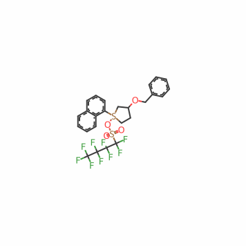 O=S(=O)(OS1(c2cccc3ccccc23)CCC(OCc2ccccc2)C1)C(F)(F)C(F)(F)C(F)(F)C(F)(F)F